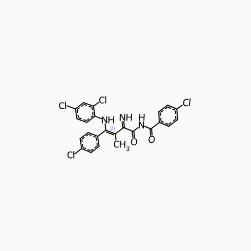 C/C(C(=N)C(=O)NC(=O)c1ccc(Cl)cc1)=C(/Nc1ccc(Cl)cc1Cl)c1ccc(Cl)cc1